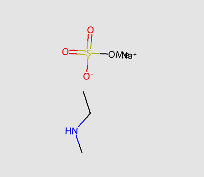 CCNC.COS(=O)(=O)[O-].[Na+]